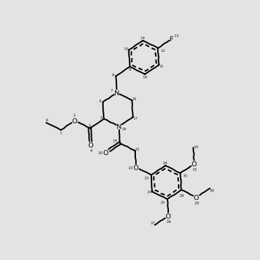 CCOC(=O)C1CN(Cc2ccc(F)cc2)CCN1C(=O)COc1cc(OC)c(OC)c(OC)c1